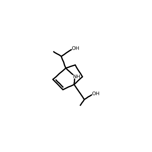 CC(O)C12C=CC(C(C)O)(CC1)N2